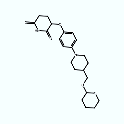 O=C1CCC(Oc2ccc(N3CCC(COC4CCCCO4)CC3)cc2)C(=O)N1